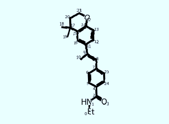 CCNC(=O)c1ccc(/C=C(\C)c2ccc3c(c2)C(C)(C)CCO3)cc1